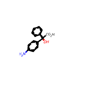 Nc1ccc(C(O)(C(=O)O)c2ccccc2)cc1